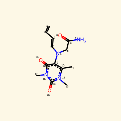 C=C/C=C/N(CC(N)=O)c1c(C)n(C)c(=O)n(C)c1=O